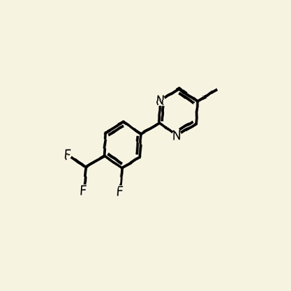 Cc1cnc(-c2ccc(C(F)F)c(F)c2)nc1